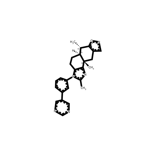 Cc1nc2c(n1-c1cccc(-c3cncnc3)c1)CC[C@H]1[C@H](C)c3oncc3C[C@]21C